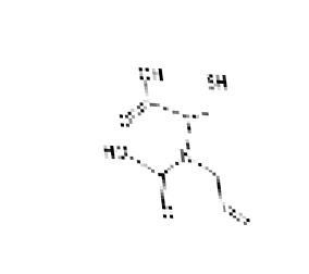 C=CCN(C(=O)O)C(CS)C(=O)O